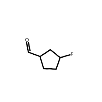 O=[C]C1CCC(F)C1